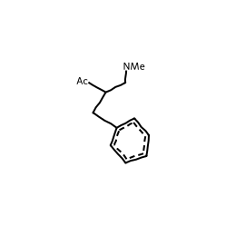 CNCC(Cc1ccccc1)C(C)=O